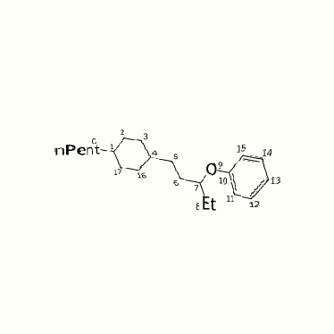 CCCCCC1CCC(CCC(CC)Oc2ccccc2)CC1